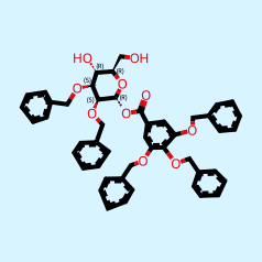 O=C(O[C@H]1O[C@H](CO)[C@@H](O)[C@H](OCc2ccccc2)[C@@H]1OCc1ccccc1)c1cc(OCc2ccccc2)c(OCc2ccccc2)c(OCc2ccccc2)c1